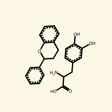 NC(Cc1ccc(O)c(O)c1)C(=O)O.c1ccc(C2CCc3ccccc3O2)cc1